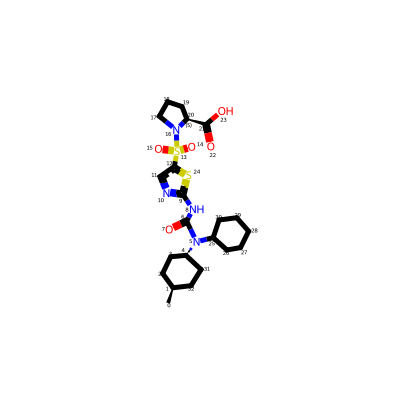 C[C@H]1CC[C@H](N(C(=O)Nc2ncc(S(=O)(=O)N3CCC[C@H]3C(=O)O)s2)C2CCCCC2)CC1